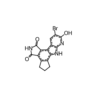 O=C1NC(=O)c2c1c1c(c3[nH]c4nc(O)c(Br)cc4c23)CCC1